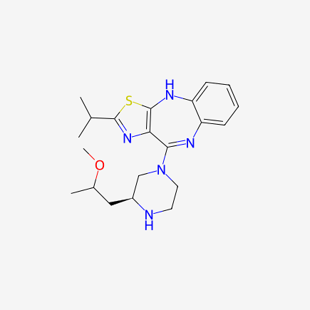 COC(C)C[C@H]1CN(C2=Nc3ccccc3Nc3sc(C(C)C)nc32)CCN1